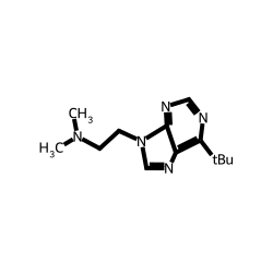 CN(C)CCn1cnc2c(C(C)(C)C)ncnc21